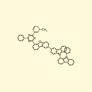 CC1C=C(c2nc(-c3ccccc3)nc(-c3cccc4c3oc3ccc(-c5ccc6c(c5)c5ccccc5n6-c5cccc6c7ccccc7n(-c7ccccc7)c56)cc34)n2)C=CC1